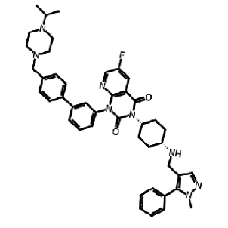 CC(C)N1CCN(Cc2ccc(-c3cccc(-n4c(=O)n([C@H]5CC[C@@H](NCc6cnn(C)c6-c6ccccc6)CC5)c(=O)c5cc(F)cnc54)c3)cc2)CC1